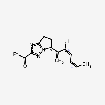 C=C(/C(Cl)=C\C=C/C)[C@@H]1CCc2nc(C(=O)CC)nn21